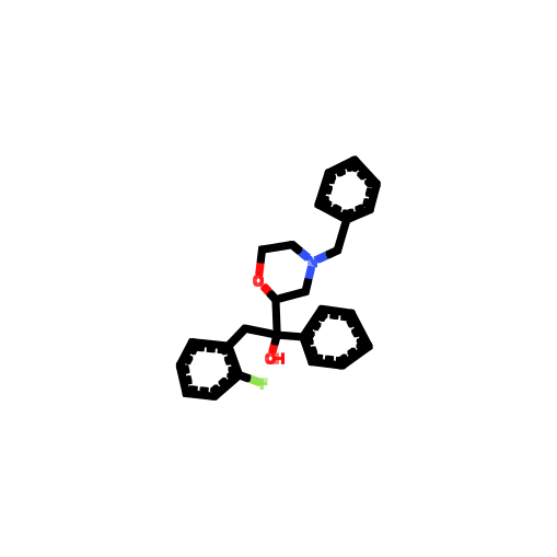 OC(Cc1ccccc1F)(c1ccccc1)C1CN(Cc2ccccc2)CCO1